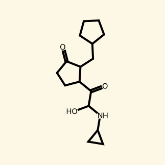 O=C1CCC(C(=O)C(O)NC2CC2)C1CC1CCCC1